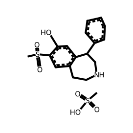 CS(=O)(=O)O.CS(=O)(=O)c1cc2c(cc1O)C(c1ccccc1)CNCC2